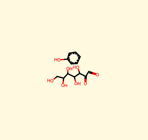 O=CC(=O)C(O)C(O)C(O)C(O)CO.Oc1ccccc1